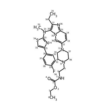 CCOC(=O)NCCN1CCN(c2ccc3nc(CC)c(N(C)c4nc(-c5ccc(F)cc5)cs4)n3n2)CC1